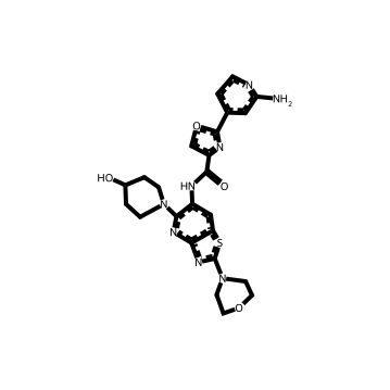 Nc1cc(-c2nc(C(=O)Nc3cc4sc(N5CCOCC5)nc4nc3N3CCC(O)CC3)co2)ccn1